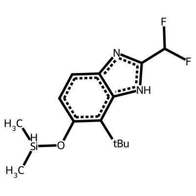 C[SiH](C)Oc1ccc2nc(C(F)F)[nH]c2c1C(C)(C)C